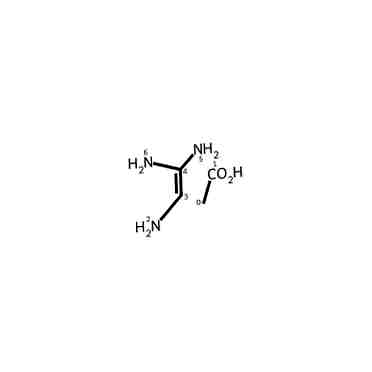 CC(=O)O.NC=C(N)N